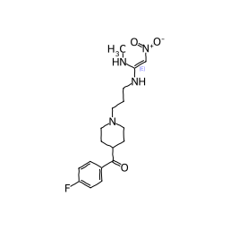 CN/C(=C\[N+](=O)[O-])NCCCN1CCC(C(=O)c2ccc(F)cc2)CC1